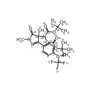 CN1N=C(c2ccc([S+]([O-])C(F)(F)F)cc2)C(C)(N(OC(=O)OC(C)(C)C)C(=O)OC(C)(C)C)C1=O